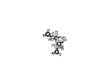 COc1cc(OC)cc(C(=O)NC2[C@@H](O)C(CO)O[C@@H](S[C@@H]3OC(CO)[C@H](O)[C@H](NC(=O)c4cc(OC)cc(OC)c4)C3O)[C@@H]2O)c1